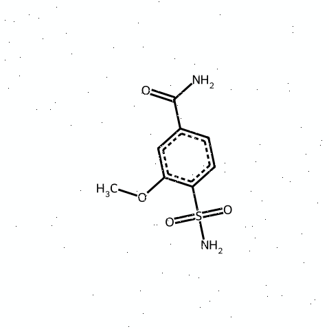 COc1cc(C(N)=O)ccc1S(N)(=O)=O